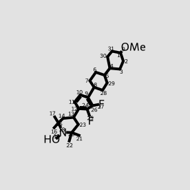 COC1CCC(C2CCC(c3ccc(C4CC(C)(C)N(O)C(C)(C)C4)c(F)c3F)CC2)CC1